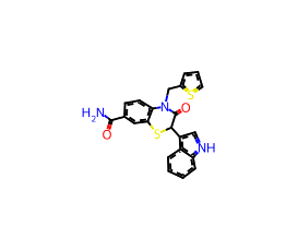 NC(=O)c1ccc2c(c1)SC(c1c[nH]c3ccccc13)C(=O)N2Cc1cccs1